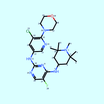 CN1C(C)(C)CC(Nc2nc(Nc3cnc(N4CCOCC4)c(Cl)c3)ncc2F)CC1(C)C